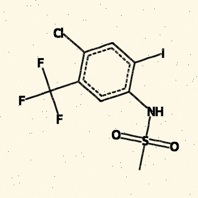 CS(=O)(=O)Nc1cc(C(F)(F)F)c(Cl)cc1I